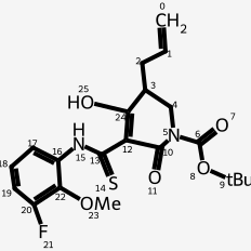 C=CCC1CN(C(=O)OC(C)(C)C)C(=O)C(C(=S)Nc2cccc(F)c2OC)=C1O